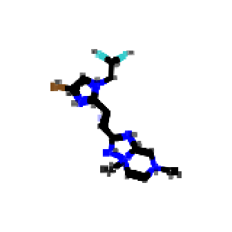 CN1C=C[N+]2(C)NC(/C=C/c3nc(Br)cn3CC(F)F)=NC2=C1